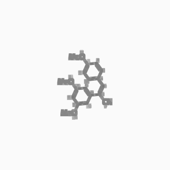 COc1ccc(C=C(C#N)c2cc(OC)cc(OC)c2)cc1